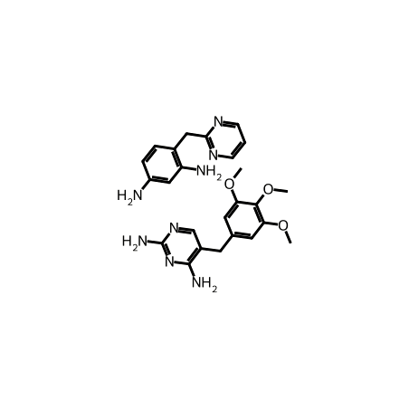 COc1cc(Cc2cnc(N)nc2N)cc(OC)c1OC.Nc1ccc(Cc2ncccn2)c(N)c1